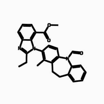 CCc1nc2cccc(C(=O)OC)c2n1-c1ccc2c(c1C)CCc1ccccc1N2C=O